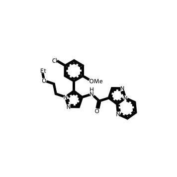 CCOCCn1ncc(NC(=O)c2cnn3cccnc23)c1-c1cc(Cl)ccc1OC